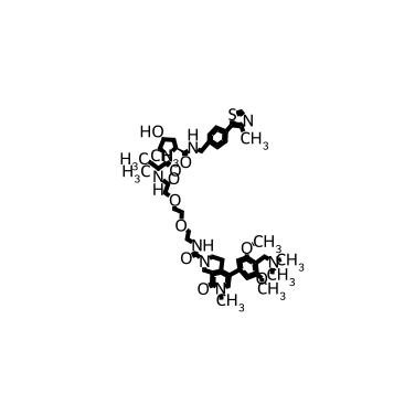 COc1cc(-c2cn(C)c(=O)c3c2CCN(C(=O)NCCOCCOCC(=O)N[C@H](C(=O)N2C[C@H](O)C[C@H]2C(=O)NCc2ccc(-c4scnc4C)cc2)C(C)(C)C)C3)cc(OC)c1CN(C)C